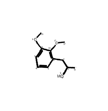 [CH2]C(O)Cc1cccc(OC)c1OC